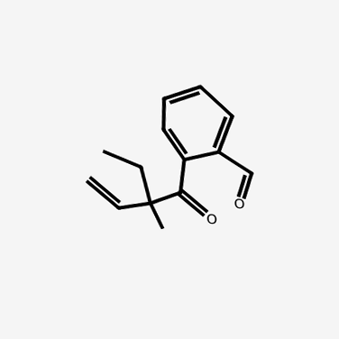 C=CC(C)(CC)C(=O)c1ccccc1C=O